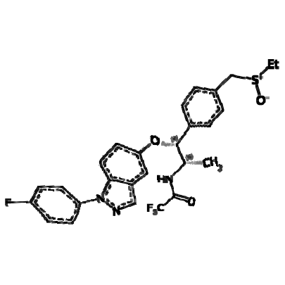 CC[S+]([O-])Cc1ccc([C@@H](Oc2ccc3c(cnn3-c3ccc(F)cc3)c2)[C@H](C)NC(=O)C(F)(F)F)cc1